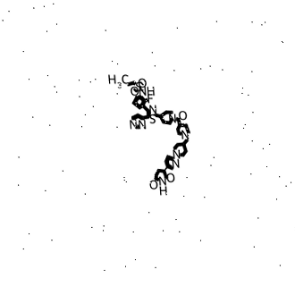 CCCS(=O)(=O)Nc1cccc(-c2nc(C3CCN(C(=O)C4CCN(CC5CCN(c6ccc([C@@H]7CCC(=O)NC7=O)cn6)CC5)CC4)CC3)sc2-c2ccncn2)c1F